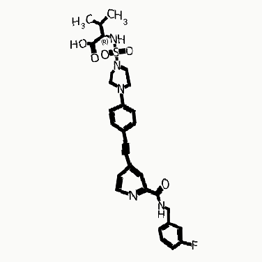 CC(C)[C@@H](NS(=O)(=O)N1CCN(c2ccc(C#Cc3ccnc(C(=O)NCc4cccc(F)c4)c3)cc2)CC1)C(=O)O